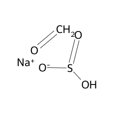 C=O.O=S([O-])O.[Na+]